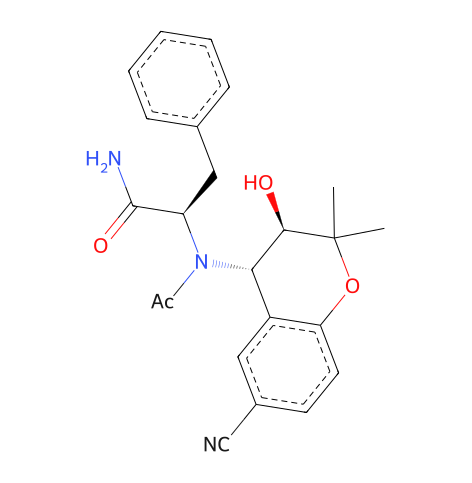 CC(=O)N([C@H](Cc1ccccc1)C(N)=O)[C@H]1c2cc(C#N)ccc2OC(C)(C)[C@@H]1O